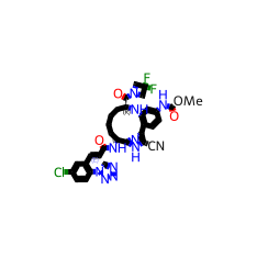 COC(=O)Nc1ccc2c(c1)N[C@@H](C(=O)N1CC(F)(F)C1)CCCC[C@H](NC(=O)/C=C/c1cc(Cl)ccc1-n1cnnn1)c1nc-2c(C#N)[nH]1